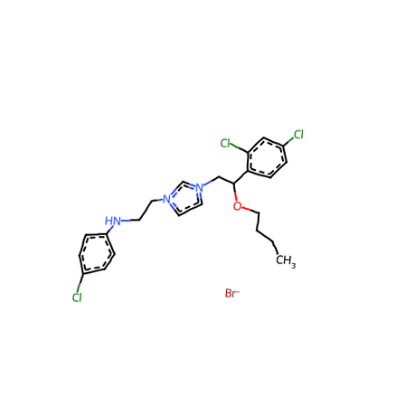 CCCCOC(Cn1cc[n+](CCNc2ccc(Cl)cc2)c1)c1ccc(Cl)cc1Cl.[Br-]